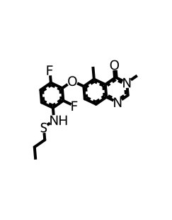 CCCSNc1ccc(F)c(Oc2ccc3ncn(C)c(=O)c3c2C)c1F